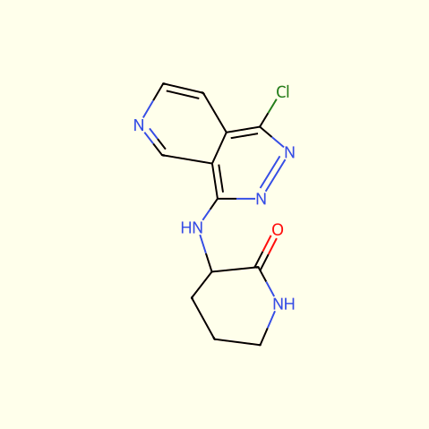 O=C1NCCCC1Nc1nnc(Cl)c2ccncc12